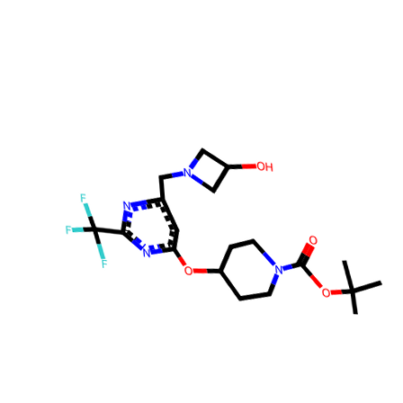 CC(C)(C)OC(=O)N1CCC(Oc2cc(CN3CC(O)C3)nc(C(F)(F)F)n2)CC1